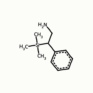 C[Si](C)(C)C(CN)c1ccccc1